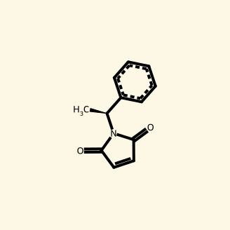 C[C@@H](c1ccccc1)N1C(=O)C=CC1=O